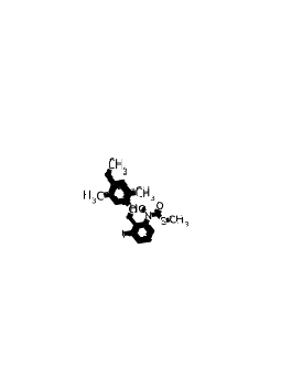 CCc1cc(C)c(OCc2c(I)cccc2N(O)C(=O)SC)cc1C